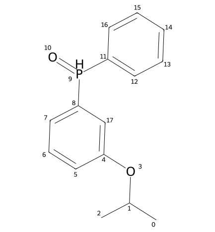 CC(C)Oc1cccc([PH](=O)c2ccccc2)c1